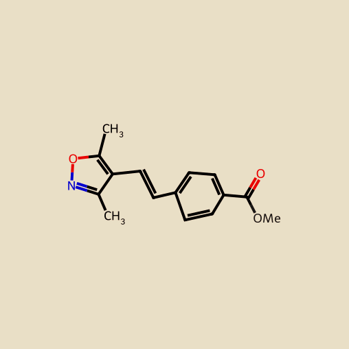 COC(=O)c1ccc(/C=C/c2c(C)noc2C)cc1